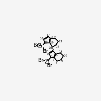 [Br][Zr]([Br])[CH]1C=CC2=C1CCCC2.[Br][Zr]([Br])[CH]1C=CC2=C1CCCC2